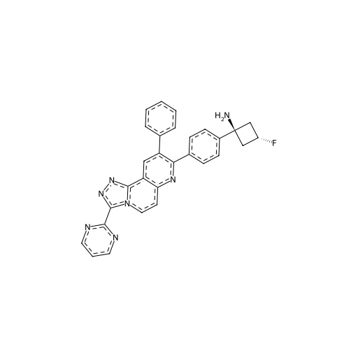 N[C@]1(c2ccc(-c3nc4ccn5c(-c6ncccn6)nnc5c4cc3-c3ccccc3)cc2)C[C@@H](F)C1